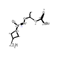 CC(O/N=[N+](\[O-])N1CC(C(=O)O)C1)OC(=O)C(C)(C)C